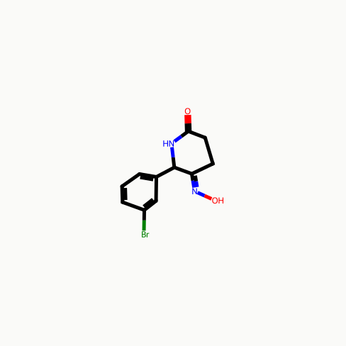 O=C1CC/C(=N\O)C(c2cccc(Br)c2)N1